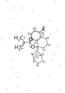 C=C(C)C(=O)OC1(C2CC3CCC2C3)CCCc2c(F)cccc21